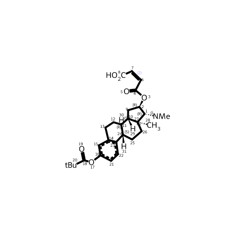 CN[C@H]1[C@H](OC(=O)/C=C\C(=O)O)C[C@H]2[C@@H]3CCc4cc(OC(=O)C(C)(C)C)ccc4[C@H]3CC[C@@]21C